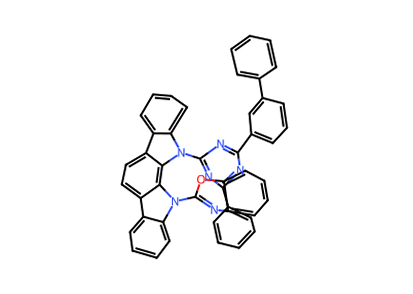 c1ccc(-c2cccc(-c3nc(-c4ccccc4)nc(-n4c5ccccc5c5ccc6c7ccccc7n(-c7nc8ccccc8o7)c6c54)n3)c2)cc1